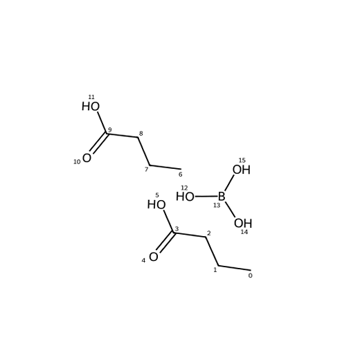 CCCC(=O)O.CCCC(=O)O.OB(O)O